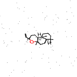 C=C[C@@]1(C)CC[C@H]2[C@]3(C)CCCC(C)(C)[C@H]3CC[C@]2(C)O1